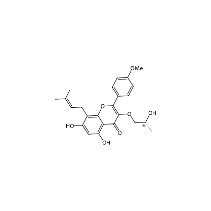 COc1ccc(-c2oc3c(CC=C(C)C)c(O)cc(O)c3c(=O)c2OC[C@@H](C)O)cc1